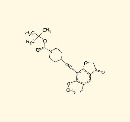 COc1c(F)cc2c(c1C#CC1CCN(C(=O)OC(C)(C)C)CC1)OCC2=O